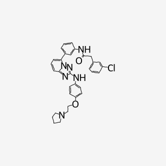 O=C(Cc1cccc(Cl)c1)Nc1cccc(-c2cccc3nc(Nc4ccc(OCCN5CCCC5)cc4)nn23)c1